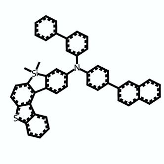 C[Si]1(C)c2cc(N(c3ccc(-c4ccc5ccccc5c4)cc3)c3cccc(-c4ccccc4)c3)ccc2-c2c1ccc1sc3ccccc3c21